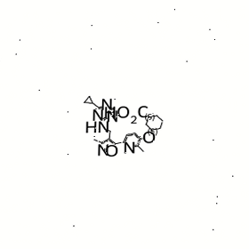 Cc1nc(-c2onc(C)c2CNc2ncnc(C3CC3)n2)ccc1O[C@H]1CCC[C@H](C(=O)O)C1